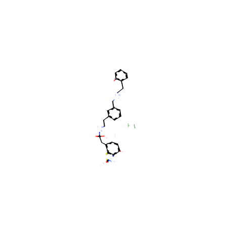 Cl.Cl.O=c1[nH]c2c(O)ccc(CC(O)(O)NCCc3cccc(CNCCc4ccccc4O)c3)c2s1